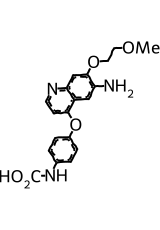 COCCOc1cc2nccc(Oc3ccc(NC(=O)O)cc3)c2cc1N